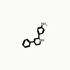 Nc1ccc(C2C=C(c3ccccc3)CCN2)cc1